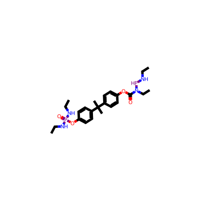 CCNPN(CC)C(=O)Oc1ccc(C(C)(C)c2ccc(OP(=O)(NCC)NCC)cc2)cc1